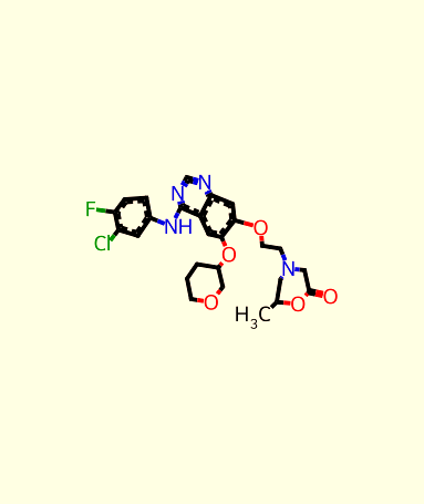 CC1CN(CCOc2cc3ncnc(Nc4ccc(F)c(Cl)c4)c3cc2OC2CCCOC2)CC(=O)O1